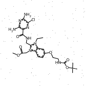 CCn1c(CNC(=O)c2nc(Cl)c(N)nc2N)[n+](CC(=O)OC)c2ccc(OCCNC(=O)OC(C)(C)C)cc21